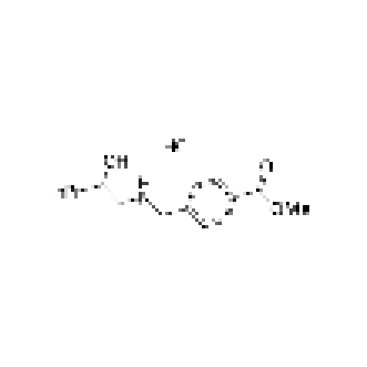 CCCC(O)CNCc1ccc(C(=O)OC)cc1.Cl